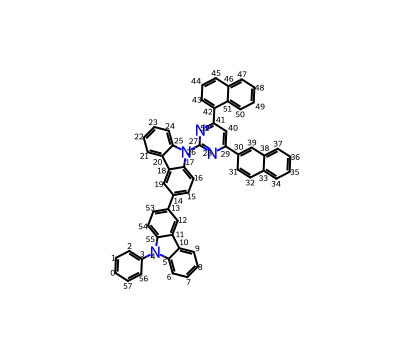 c1ccc(-n2c3ccccc3c3cc(-c4ccc5c(c4)c4ccccc4n5-c4nc(-c5ccc6ccccc6c5)cc(-c5cccc6ccccc56)n4)ccc32)cc1